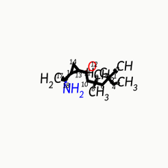 C#CC(C)(CC)CC(C)(C)CC(=O)C1CC1C(=C)N